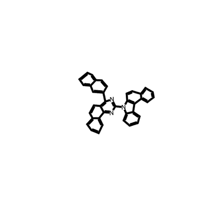 c1ccc2cc(-c3nc(-n4c5ccccc5c5c6ccccc6ccc54)nc4c3ccc3ccccc34)ccc2c1